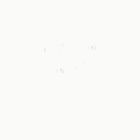 O=C(O)/C=C(\C(=O)Nc1ccccc1)S(=O)(=O)O